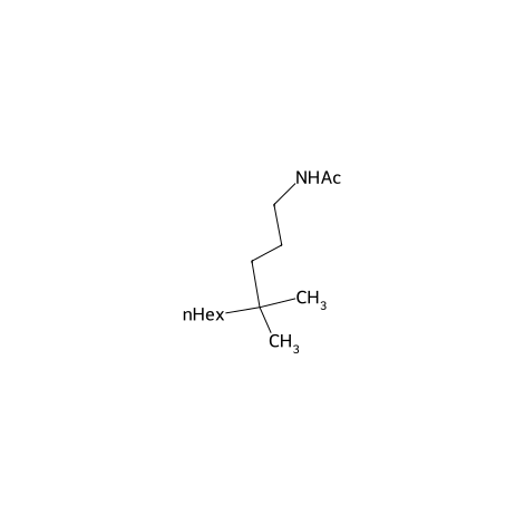 CCCCCCC(C)(C)CCCNC(C)=O